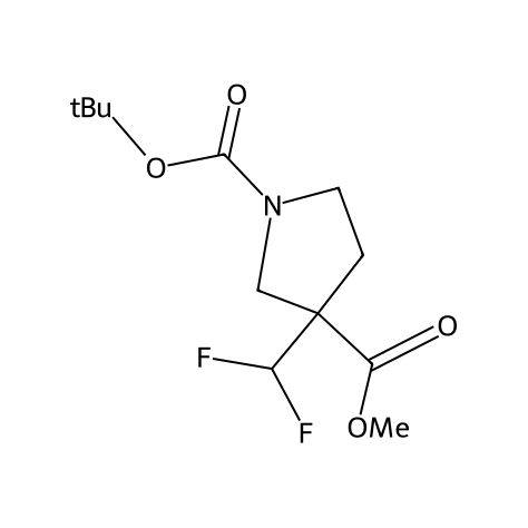 COC(=O)C1(C(F)F)CCN(C(=O)OC(C)(C)C)C1